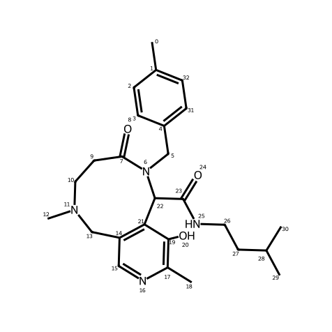 Cc1ccc(CN2C(=O)CCN(C)Cc3cnc(C)c(O)c3C2C(=O)NCCC(C)C)cc1